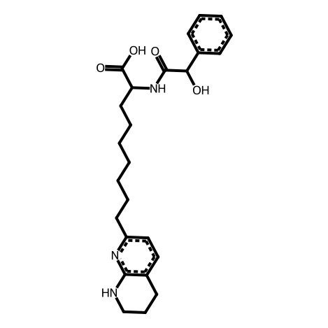 O=C(O)C(CCCCCCCc1ccc2c(n1)NCCC2)NC(=O)C(O)c1ccccc1